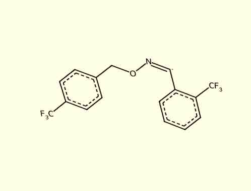 FC(F)(F)c1ccc(CO/N=[C]\c2ccccc2C(F)(F)F)cc1